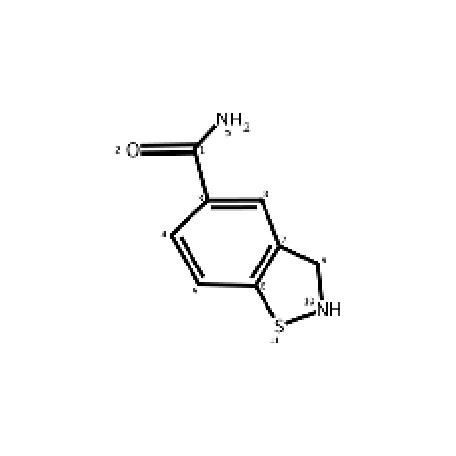 NC(=O)c1ccc2c(c1)CNS2